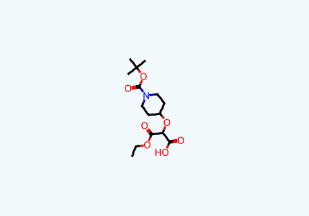 CCOC(=O)C(OC1CCN(C(=O)OC(C)(C)C)CC1)C(=O)O